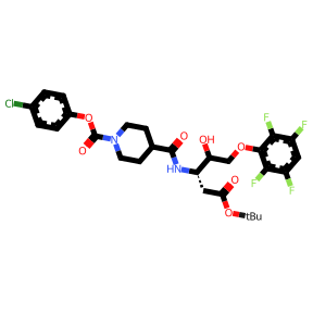 CC(C)(C)OC(=O)C[C@H](NC(=O)C1CCN(C(=O)Oc2ccc(Cl)cc2)CC1)C(O)COc1c(F)c(F)cc(F)c1F